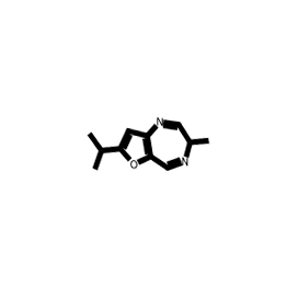 CC1C=Nc2cc(C(C)C)oc2C=N1